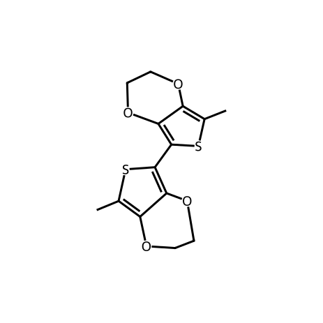 Cc1sc(-c2sc(C)c3c2OCCO3)c2c1OCCO2